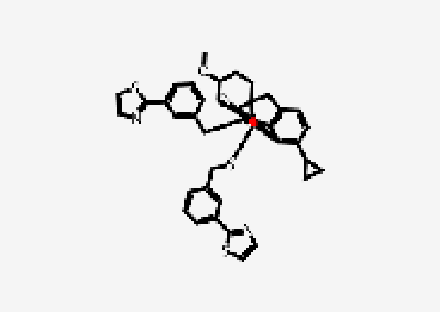 COC1CCC2(CC1)Cc1ccc(C3CC3)cc1C21N=C(SCc2cccc(-c3nccs3)c2)N(Cc2cccc(-c3nccs3)c2)C1=O